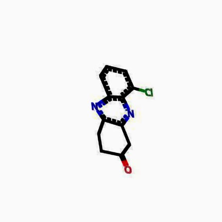 O=C1CCc2nc3cccc(Cl)c3nc2C1